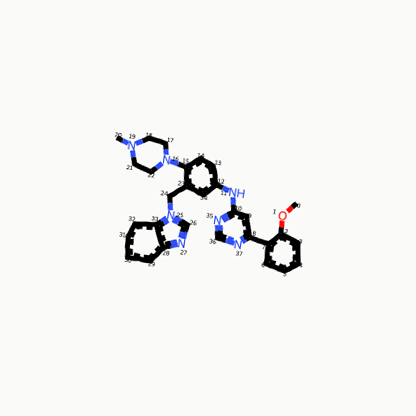 COc1ccccc1-c1cc(Nc2ccc(N3CCN(C)CC3)c(Cn3cnc4ccccc43)c2)ncn1